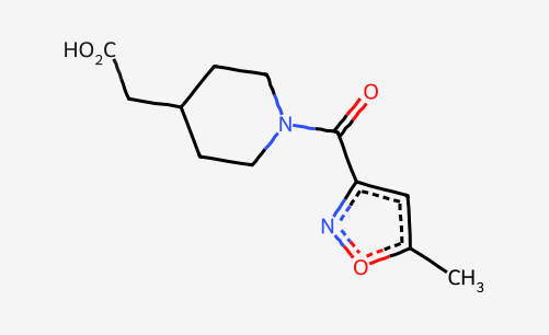 Cc1cc(C(=O)N2CCC(CC(=O)O)CC2)no1